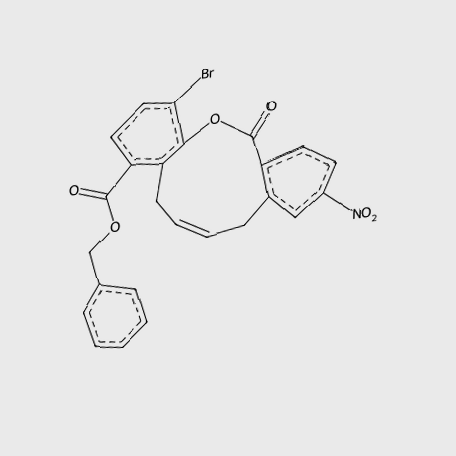 O=C1Oc2c(Br)ccc(C(=O)OCc3ccccc3)c2CC=CCc2cc([N+](=O)[O-])ccc21